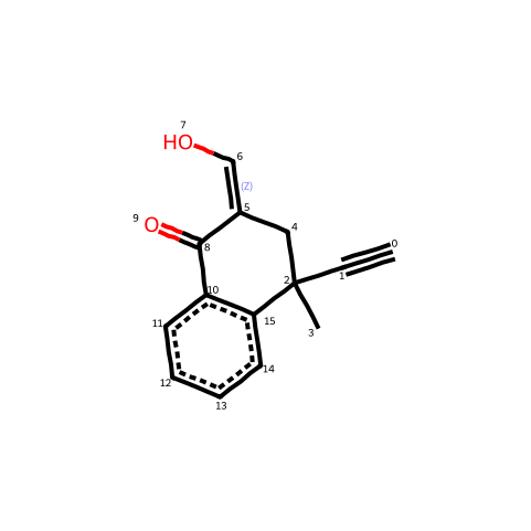 C#CC1(C)C/C(=C/O)C(=O)c2ccccc21